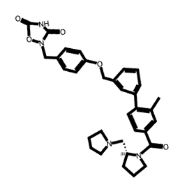 Cc1cc(C(=O)N2CCC[C@@H]2CN2CCCC2)ccc1-c1cccc(COc2ccc(Cn3oc(=O)[nH]c3=O)cc2)c1